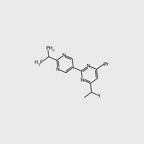 CC(C)c1cc(C(C)I)nc(-c2cnc(C(P)P)nc2)n1